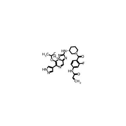 C=CC(=O)Nc1ccc(C(=O)N2CCC[C@@H](Nc3nc4cnc(-c5cn[nH]c5)c(OC(C)C)n4n3)C2)c(F)c1